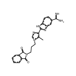 Cc1c(-c2nc3cc(C(=N)N)ccc3[nH]2)ncn1CCCN1C(=O)c2ccccc2C1=O